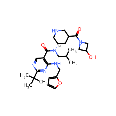 CC(C)CN(C(=O)c1cnc(C(C)(C)C)nc1NCc1ccco1)[C@@H]1CNCC(C(=O)N2CC(O)C2)C1